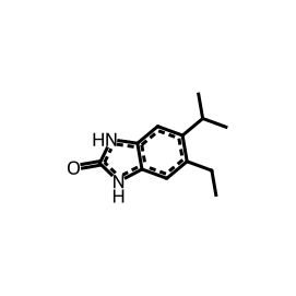 CCc1cc2[nH]c(=O)[nH]c2cc1C(C)C